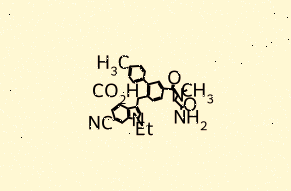 CCn1cc(Cc2ccc(C(=O)N(C)CC(N)=O)cc2-c2ccc(C)cc2C(=O)O)c2ccc(C#N)cc21